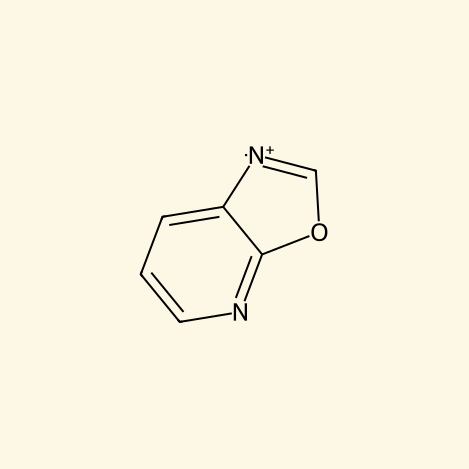 C1=[N+]c2cccnc2O1